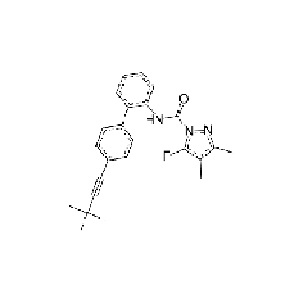 Cc1nn(C(=O)Nc2ccccc2-c2ccc(C#CC(C)(C)C)cc2)c(F)c1C